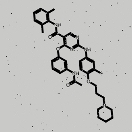 CC(=O)Nc1cccc(Oc2nc(Nc3ccc(OCCCN4CCCCC4)c(F)c3)ncc2C(=O)Nc2c(C)cccc2C)c1